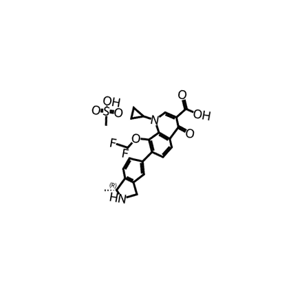 CS(=O)(=O)O.C[C@H]1NCc2cc(-c3ccc4c(=O)c(C(=O)O)cn(C5CC5)c4c3OC(F)F)ccc21